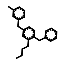 CCCCc1cc(Cc2cccc(C)c2)ccc1Cc1ccccc1